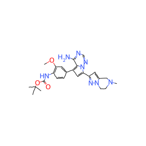 COc1cc(-c2cc(-c3cc4n(n3)CCN(C)C4)n3ncnc(N)c23)ccc1NC(=O)OC(C)(C)C